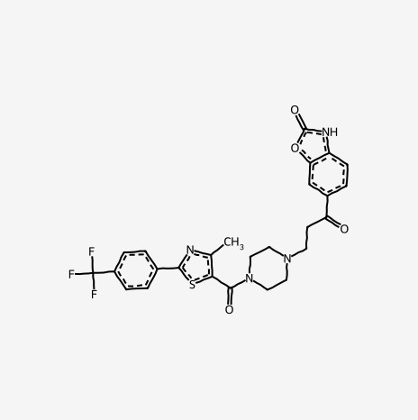 Cc1nc(-c2ccc(C(F)(F)F)cc2)sc1C(=O)N1CCN(CCC(=O)c2ccc3[nH]c(=O)oc3c2)CC1